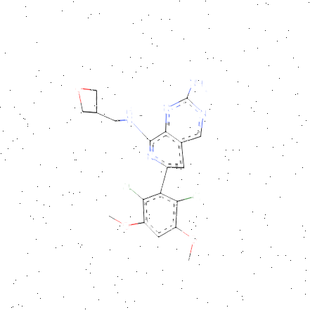 COc1cc(OC)c(Cl)c(-c2cc3cnc(N)nc3c(NCC3COC3)n2)c1Cl